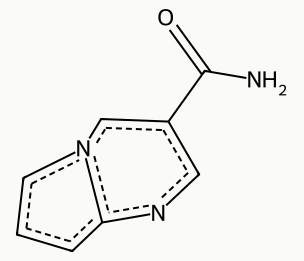 NC(=O)c1cnc2cccn2c1